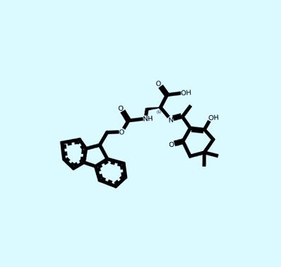 CC(=N[C@@H](CNC(=O)OCC1c2ccccc2-c2ccccc21)C(=O)O)C1=C(O)CC(C)(C)CC1=O